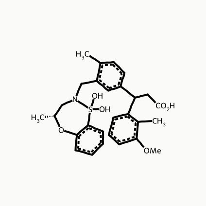 COc1cccc(C(CC(=O)O)c2ccc(C)c(CN3C[C@@H](C)Oc4ccccc4S3(O)O)c2)c1C